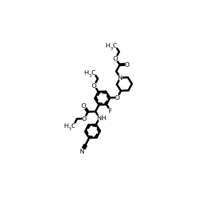 CCOC(=O)CN1CCCC(Oc2cc(OCC)cc(C(Nc3ccc(C#N)cc3)C(=O)OCC)c2F)C1